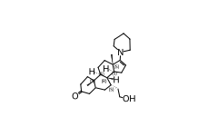 C[C@]12CCC(=O)CC1C[C@@H](CCO)[C@@H]1[C@@H]2CC[C@]2(C)C(N3CCCCC3)=CC[C@@H]12